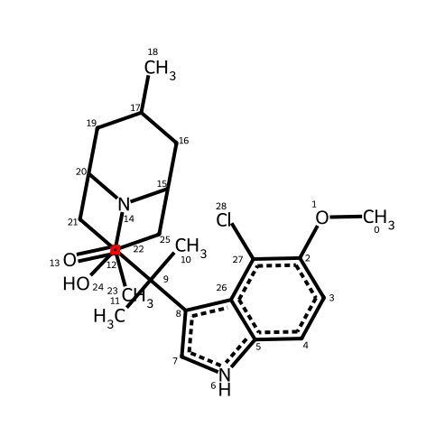 COc1ccc2[nH]cc(C(C)(C)C(=O)N3C4CC(C)CC3CC(C)(O)C4)c2c1Cl